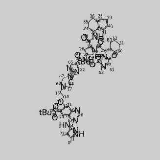 Cc1[nH]nc(Nc2ncnc3cc(OCCN4CCN(c5ncc(C(=O)N[C@H]6C[C@@H](C(=O)N[C@@H]7CCCc8ccccc87)N(C(=O)[C@@H](NC(=O)[C@H](C)N(C)C(=O)OC(C)(C)C)C7CCCCC7)C6)cn5)CC4)c(S(=O)(=O)C(C)(C)C)cc23)c1C